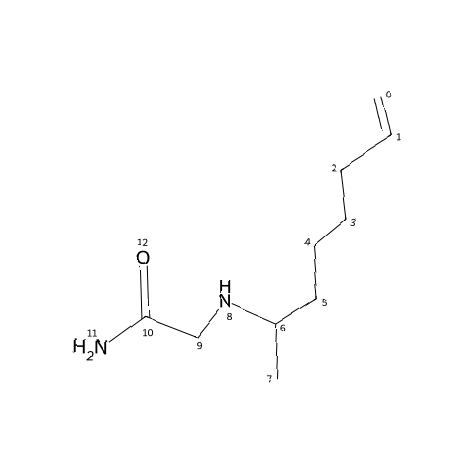 C=CCCCCC(C)NCC(N)=O